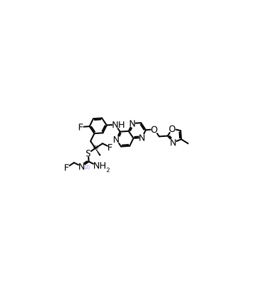 Cc1coc(COc2cnc3c(Nc4ccc(F)c(C[C@](C)(CF)S/C(N)=N\CF)c4)nccc3n2)n1